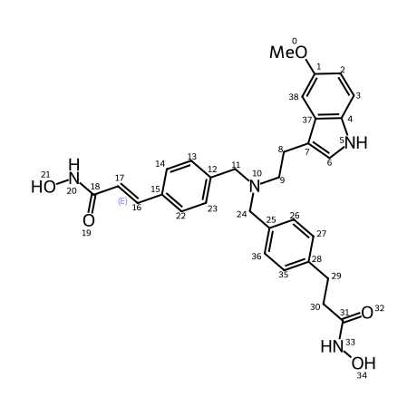 COc1ccc2[nH]cc(CCN(Cc3ccc(/C=C/C(=O)NO)cc3)Cc3ccc(CCC(=O)NO)cc3)c2c1